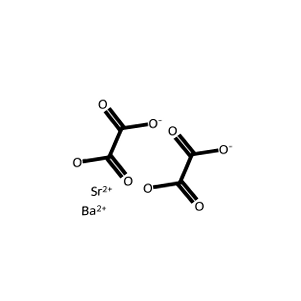 O=C([O-])C(=O)[O-].O=C([O-])C(=O)[O-].[Ba+2].[Sr+2]